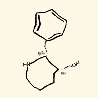 O[C@@H]1CCCN[C@@H]1c1ccccc1